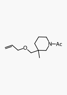 C=CCOCC1(C)CCCN(C(C)=O)C1